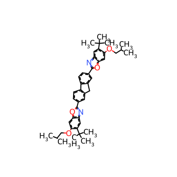 CC(C)COc1cc2oc(-c3ccc4c(c3)Cc3cc(-c5nc6cc(C(C)(C)C)c(OCC(C)C)cc6o5)ccc3-4)nc2cc1C(C)(C)C